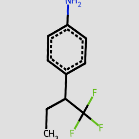 CCC(c1ccc(N)cc1)C(F)(F)F